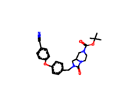 CC(C)(C)OC(=O)N1CCN2C(=O)N(Cc3ccc(Oc4ccc(C#N)cc4)cc3)CC2C1